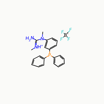 C[NH+]=C(N)N(C)c1cccc(P(c2ccccc2)c2ccccc2)c1.F[B-](F)(F)F